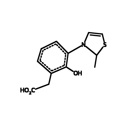 CC1SC=CN1c1cccc(CC(=O)O)c1O